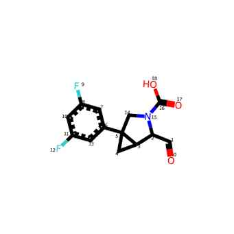 O=CC1C2CC2(c2cc(F)cc(F)c2)CN1C(=O)O